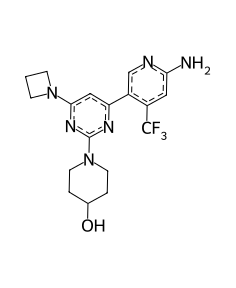 Nc1cc(C(F)(F)F)c(-c2cc(N3CCC3)nc(N3CCC(O)CC3)n2)cn1